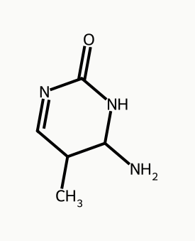 CC1C=NC(=O)NC1N